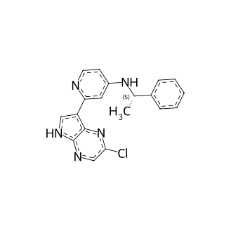 C[C@H](Nc1ccnc(-c2c[nH]c3ncc(Cl)nc23)c1)c1ccccc1